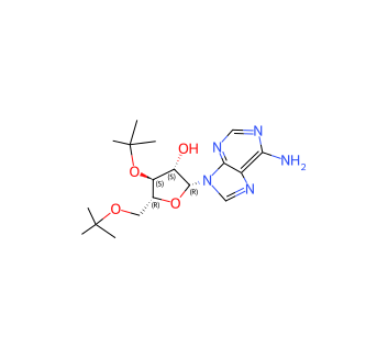 CC(C)(C)OC[C@H]1O[C@@H](n2cnc3c(N)ncnc32)[C@@H](O)[C@@H]1OC(C)(C)C